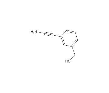 NC#Cc1cccc(CO)c1